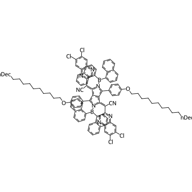 CCCCCCCCCCCCCCCCCCCCOc1ccc(-c2c3/c(=C(\C#N)c4cnc5cc(Cl)c(Cl)cc5n4)n(B(c4cccc5ccccc45)c4cccc5ccccc45)c(-c4ccc(OCCCCCCCCCCCCCCCCCCCC)cc4)c3/c(=C(\C#N)c3cnc4cc(Cl)c(Cl)cc4n3)n2B(c2cccc3ccccc23)c2cccc3ccccc23)cc1